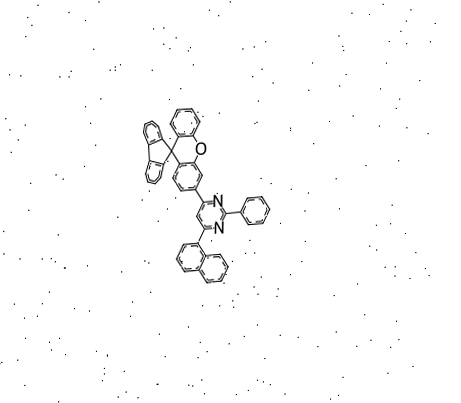 c1ccc(-c2nc(-c3ccc4c(c3)Oc3ccccc3C43c4ccccc4-c4ccccc43)cc(-c3cccc4ccccc34)n2)cc1